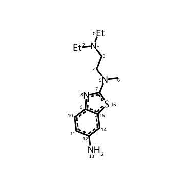 CCN(CC)CCN(C)c1nc2ccc(N)cc2s1